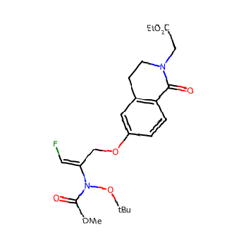 CCOC(=O)CN1CCc2cc(OC/C(=C\F)N(OC(C)(C)C)C(=O)OC)ccc2C1=O